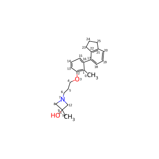 Cc1c(OCCCN2CC(C)(O)C2)cccc1-c1cccc2c1CCC2